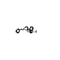 OC1(c2cccc3[nH]ccc23)CCCN(CCc2ccccc2)C1